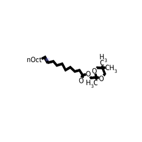 CCCCCCCC/C=C/CCCCCCCC(=O)OCC1(C)OCC(C)(C)CO1